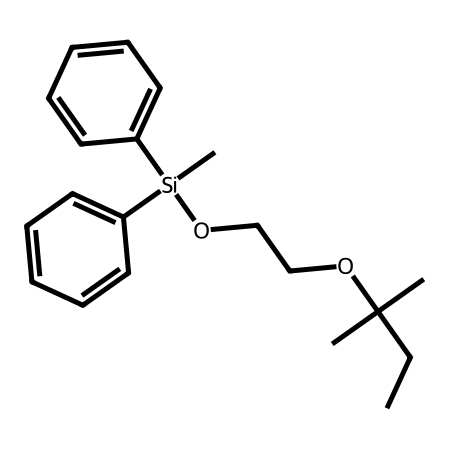 CCC(C)(C)OCCO[Si](C)(c1ccccc1)c1ccccc1